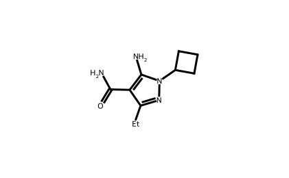 CCc1nn(C2CCC2)c(N)c1C(N)=O